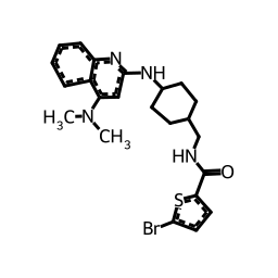 CN(C)c1cc(NC2CCC(CNC(=O)c3ccc(Br)s3)CC2)nc2ccccc12